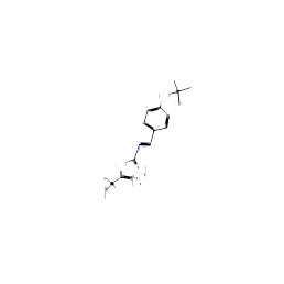 CC(C)(C)Oc1ccc(/C=C/c2nnc(C(Cl)(Cl)Cl)o2)cc1